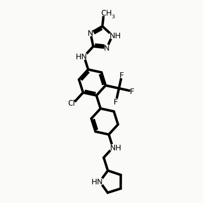 Cc1nc(Nc2cc(Cl)c(C3C=CC(NCC4CCCN4)CC3)c(C(F)(F)F)c2)n[nH]1